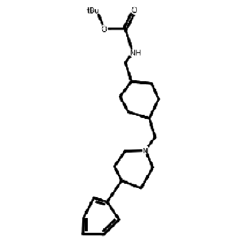 CC(C)(C)OC(=O)NCC1CCC(CN2CCC(c3ccccc3)CC2)CC1